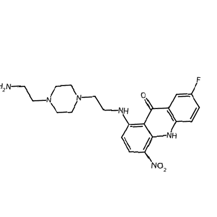 NCCN1CCN(CCNc2ccc([N+](=O)[O-])c3[nH]c4ccc(F)cc4c(=O)c23)CC1